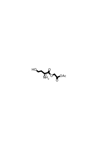 CC(=O)OC(=O)COC(=O)[C@@H](N)CCO